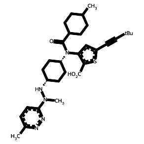 Cc1ccc(N(C)N[C@H]2CC[C@@H](N(C(=O)C3CCC(C)CC3)c3cc(C#CC(C)(C)C)sc3C(=O)O)CC2)nn1